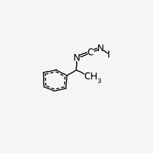 CC(N=C=NI)c1ccccc1